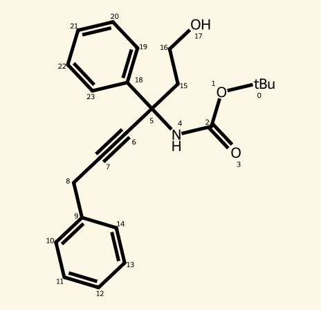 CC(C)(C)OC(=O)NC(C#CCc1ccccc1)(CCO)c1ccccc1